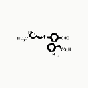 CC(=O)Nc1ccc(C=O)cc1.N.NCCC[C@@H](N)C(=O)O.O=C(O)Cc1ccccc1